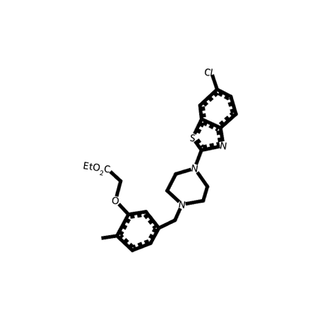 CCOC(=O)COc1cc(CN2CCN(c3nc4ccc(Cl)cc4s3)CC2)ccc1C